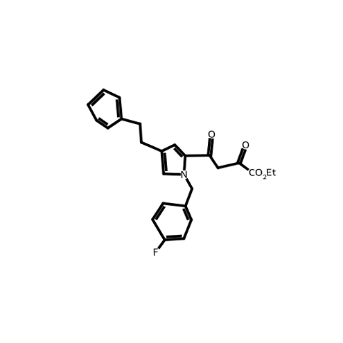 CCOC(=O)C(=O)CC(=O)c1cc(CCc2ccccc2)cn1Cc1ccc(F)cc1